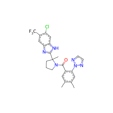 Cc1cc(C(=O)N2CCCC2(C)c2nc3cc(C(F)(F)F)c(Cl)cc3[nH]2)c(-n2nccn2)cc1C